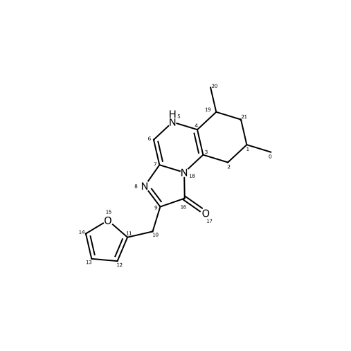 CC1Cc2c([nH]cc3nc(Cc4ccco4)c(=O)n2-3)C(C)C1